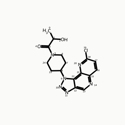 CC(O)C(=O)N1CCC(n2nnc3cnc4ccc(Cl)nc4c32)CC1